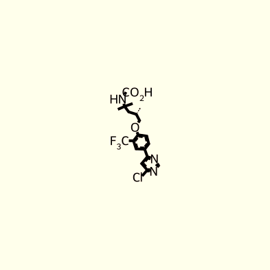 C[C@H](COc1ccc(-c2cc(Cl)ncn2)cc1C(F)(F)F)CC(C)(C)NC(=O)O